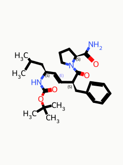 CC(C)C[C@@H](/C=C/[C@H](Cc1ccccc1)C(=O)N1CCC[C@H]1C(N)=O)NC(=O)OC(C)(C)C